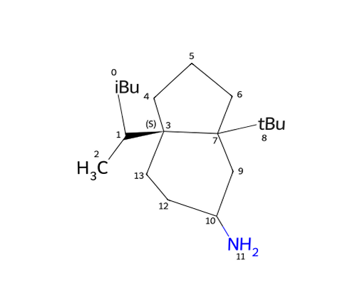 CCC(C)C(C)[C@@]12CCCC1(C(C)(C)C)CC(N)CC2